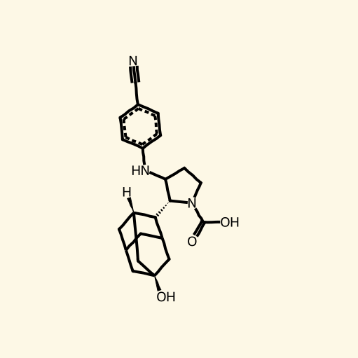 N#Cc1ccc(NC2CCN(C(=O)O)[C@@H]2C2C3CC4C[C@H]2C[C@@](O)(C4)C3)cc1